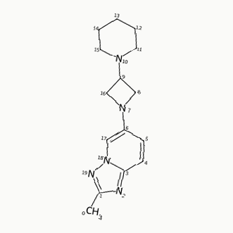 Cc1nc2ccc(N3CC(N4CCCCC4)C3)cn2n1